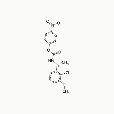 COc1cccc([C@@H](C)NC(=O)Oc2ccc([N+](=O)[O-])cc2)c1Cl